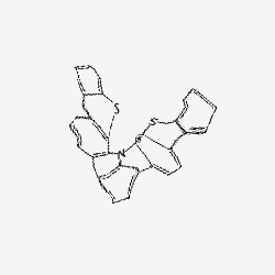 c1ccc2c(c1)sc1c2ccc2c3cccc4c5ccc6c7ccccc7sc6c5n(c34)c21